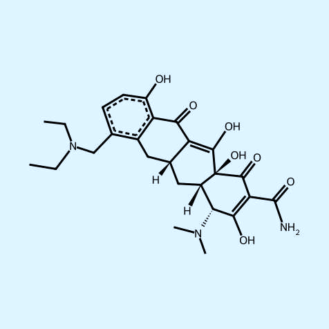 CCN(CC)Cc1ccc(O)c2c1C[C@H]1C[C@H]3[C@@H](N(C)C)C(O)=C(C(N)=O)C(=O)[C@@]3(O)C(O)=C1C2=O